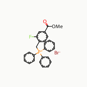 COC(=O)c1ccc(C[P+](c2ccccc2)(c2ccccc2)c2ccccc2)c(F)c1.[Br-]